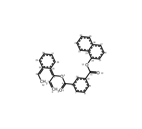 C=C/C(OC(=O)c1cccc(C(=O)Oc2cccc3ccccc23)c1)=c1/cccc/c1=C/C